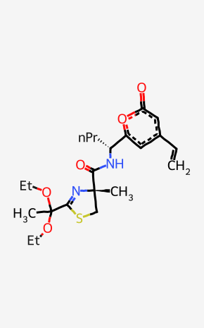 C=Cc1cc([C@@H](CCC)NC(=O)[C@]2(C)CSC(C(C)(OCC)OCC)=N2)oc(=O)c1